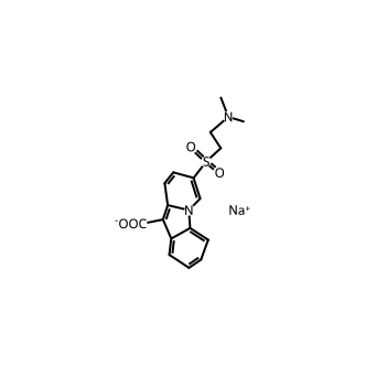 CN(C)CCS(=O)(=O)c1ccc2c(C(=O)[O-])c3ccccc3n2c1.[Na+]